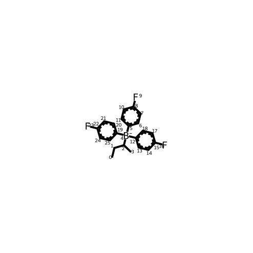 CCC(C)[B-](c1ccc(F)cc1)(c1ccc(F)cc1)c1ccc(F)cc1